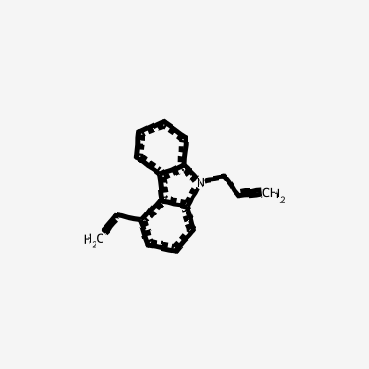 C=CCn1c2ccccc2c2c(C=C)cccc21